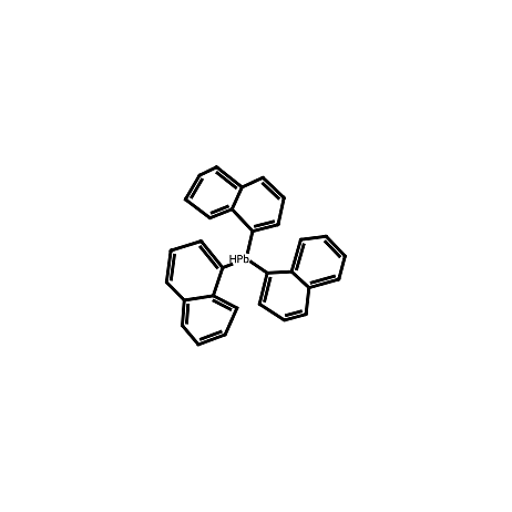 c1ccc2[c]([PbH]([c]3cccc4ccccc34)[c]3cccc4ccccc34)cccc2c1